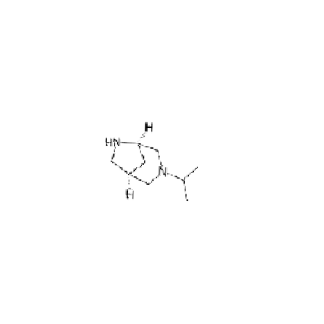 CC(C)N1C[C@H]2CN[C@H](C2)C1